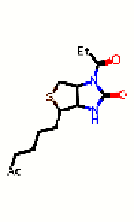 CCC(=O)N1C(=O)NC2C(CCCCC(C)=O)SCC21